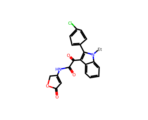 CCn1c(-c2ccc(Cl)cc2)c(C(=O)C(=O)NC2=CC(=O)OC2)c2ccccc21